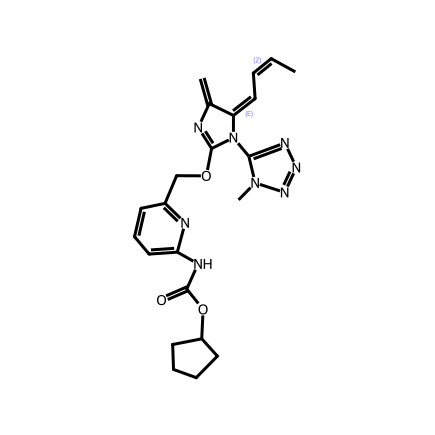 C=c1nc(OCc2cccc(NC(=O)OC3CCCC3)n2)n(-c2nnnn2C)/c1=C/C=C\C